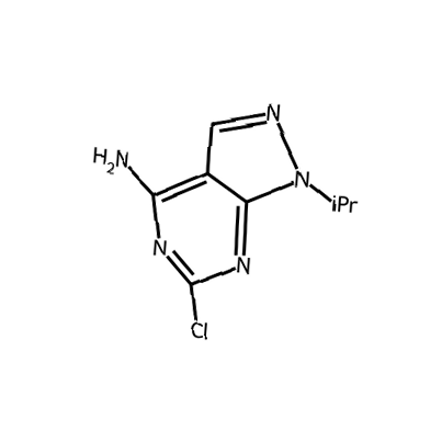 CC(C)n1ncc2c(N)nc(Cl)nc21